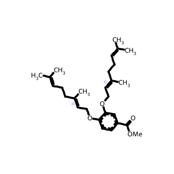 COC(=O)c1ccc(OC/C=C(\C)CCC=C(C)C)c(OC/C=C(\C)CCC=C(C)C)c1